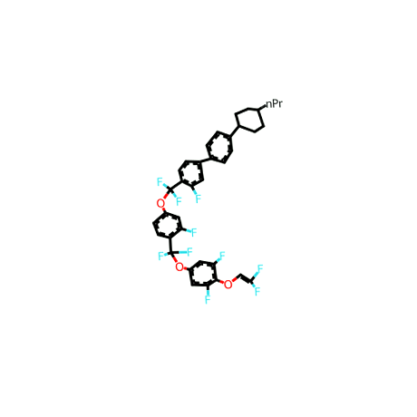 CCCC1CCC(c2ccc(-c3ccc(C(F)(F)Oc4ccc(C(F)(F)Oc5cc(F)c(OC=C(F)F)c(F)c5)c(F)c4)c(F)c3)cc2)CC1